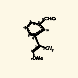 CO/C=C(\C)c1cncc(C=O)c1